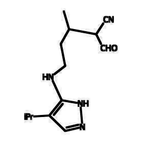 CC(C)c1cn[nH]c1NCCC(C)C(C#N)C=O